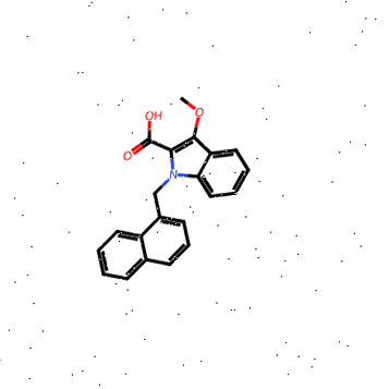 COc1c(C(=O)O)n(Cc2cccc3ccccc23)c2ccccc12